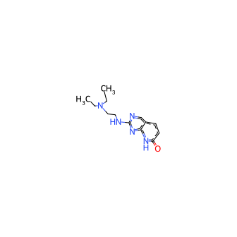 CCN(CC)CCNc1ncc2ccc(=O)[nH]c2n1